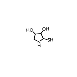 OC1CNC(S)C1O